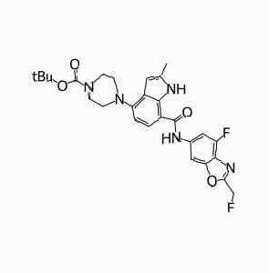 Cc1cc2c(N3CCN(C(=O)OC(C)(C)C)CC3)ccc(C(=O)Nc3cc(F)c4nc(CF)oc4c3)c2[nH]1